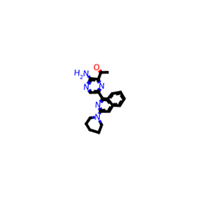 CC(=O)c1nc(-c2nc(N3CCCCC3)cc3ccccc23)cnc1N